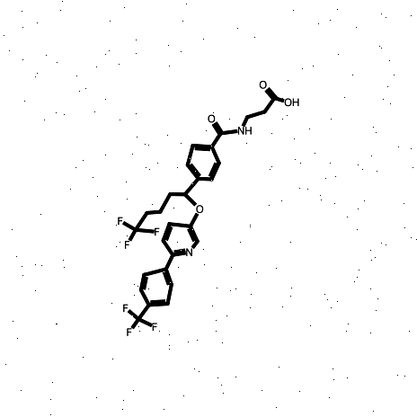 O=C(O)CCNC(=O)c1ccc(C(CCCC(F)(F)F)Oc2ccc(-c3ccc(C(F)(F)F)cc3)nc2)cc1